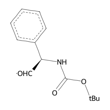 CC(C)(C)OC(=O)N[C@@H]([C]=O)c1ccccc1